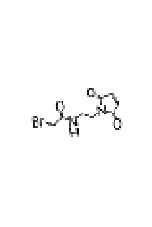 O=C(CBr)NCCN1C(=O)C=CC1=O